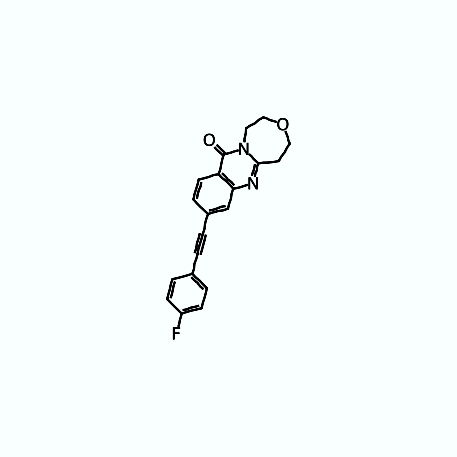 O=c1c2ccc(C#Cc3ccc(F)cc3)cc2nc2n1CCOCC2